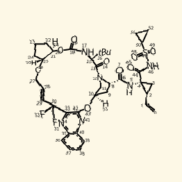 C=C[C@@H]1C[C@]1(NC(=O)[C@@H]1C[C@@H]2CN1C(=O)[C@H](C(C)(C)C)NC(=O)O[C@@H]1CCC[C@H]1OC/C=C/C(F)(F)c1nc3ccccc3nc1O2)C(=O)NS(=O)(=O)C1CC1